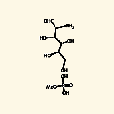 COP(=O)(O)O.N[C@@H](C=O)[C@@H](O)[C@H](O)[C@H](O)CO